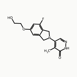 Cc1c(N2Cc3cc(OCCO)cc(F)c3C2)cn[nH]c1=O